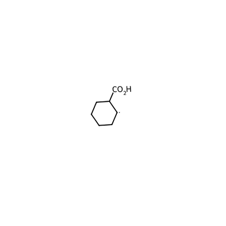 O=C(O)C1[CH]CCCC1